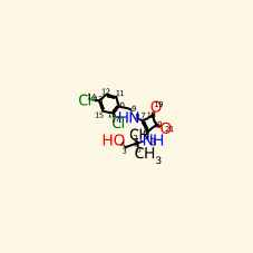 CC(C)(CO)Nc1c(NCc2ccc(Cl)cc2Cl)c(=O)c1=O